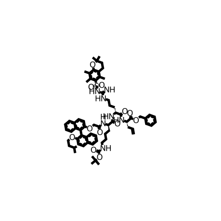 C=CC[C@H](NC(=O)[C@@H](CCCNC(=N)NS(=O)(=O)c1c(C)c(C)c2c(c1C)CCC(C)(C)O2)NC(=O)[C@@H](CCCCNC(=O)OC(C)(C)C)NC(=O)COc1ccc2ccccc2c1-c1c(OCCC(C)C)ccc2ccccc12)C(=O)OCc1ccccc1